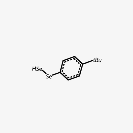 CC(C)(C)c1ccc([Se][SeH])cc1